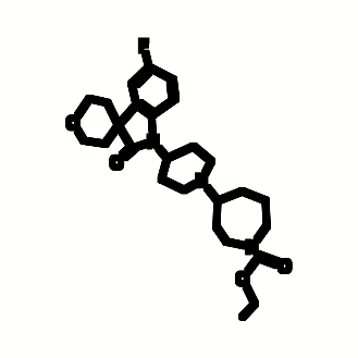 CCOC(=O)N1CCCC(N2CCC(N3C(=O)C4(CCOCC4)c4cc(F)ccc43)CC2)CC1